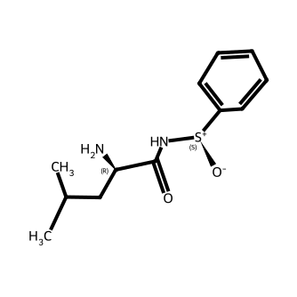 CC(C)C[C@@H](N)C(=O)N[S@+]([O-])c1ccccc1